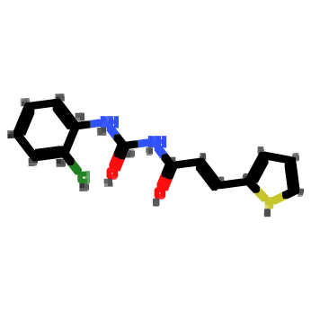 O=C(/C=C/c1cccs1)NC(=O)Nc1ccccc1Cl